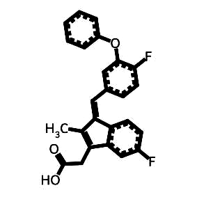 CC1=C(CC(=O)O)c2cc(F)ccc2/C1=C\c1ccc(F)c(Oc2ccccc2)c1